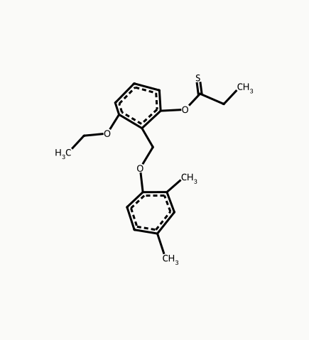 CCOc1cccc(OC(=S)CC)c1COc1ccc(C)cc1C